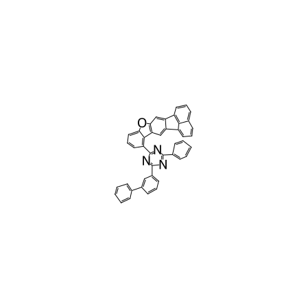 c1ccc(-c2cccc(-c3nc(-c4ccccc4)nc(-c4cccc5oc6cc7c(cc6c45)-c4cccc5cccc-7c45)n3)c2)cc1